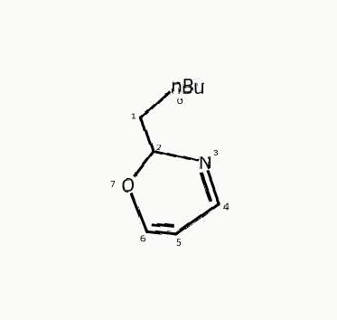 CCCCCC1N=CC=CO1